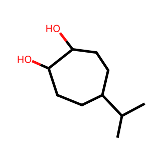 CC(C)C1CCC(O)C(O)CC1